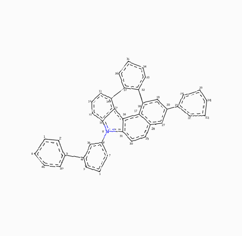 c1ccc(-c2cccc(-n3c4cccc5c4c4c6c(cc(-c7ccccc7)cc6ccc43)-c3ccccc3-5)c2)cc1